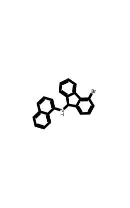 Brc1cccc2c1-c1ccccc1C2Nc1cccc2ccccc12